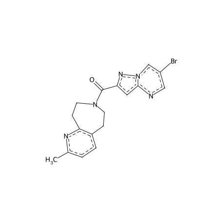 Cc1ccc2c(n1)CCN(C(=O)c1cc3ncc(Br)cn3n1)CC2